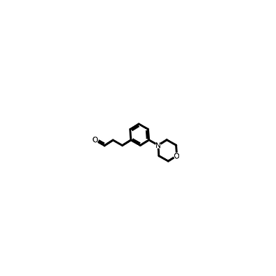 O=CCCc1cccc(N2CCOCC2)c1